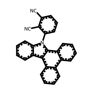 N#Cc1cccc(-n2c3ccccc3c3c4ccccc4c4ccccc4c32)c1C#N